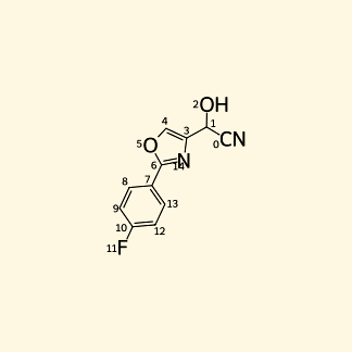 N#CC(O)c1coc(-c2ccc(F)cc2)n1